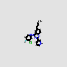 N#CCCCc1ccc2nc(-c3cccnc3)nc(Nc3ccc(F)c(Cl)c3)c2c1